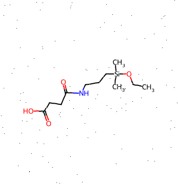 CCO[Si](C)(C)CCCNC(=O)CCC(=O)O